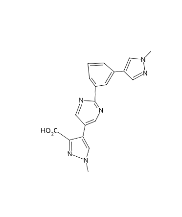 Cn1cc(-c2cccc(-c3ncc(-c4cn(C)nc4C(=O)O)cn3)c2)cn1